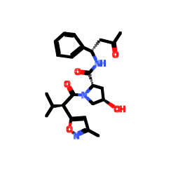 CC(=O)C[C@H](NC(=O)[C@@H]1C[C@@H](O)CN1C(=O)[C@@H](c1cc(C)no1)C(C)C)c1ccccc1